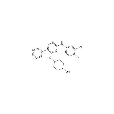 OC1CCC(Nc2nc(Nc3ccc(F)c(Cl)c3)ncc2-c2cncnc2)CC1